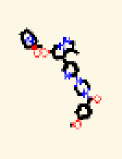 COc1ccc(C(=O)N2CCN(c3ccc(-c4cc(OCCN5C6CCC5CC(=O)C6)cn5ncc(C)c45)cn3)CC2)cc1